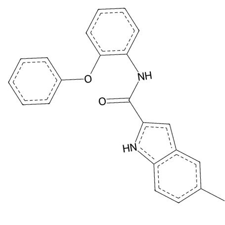 Cc1ccc2[nH]c(C(=O)Nc3ccccc3Oc3ccccc3)cc2c1